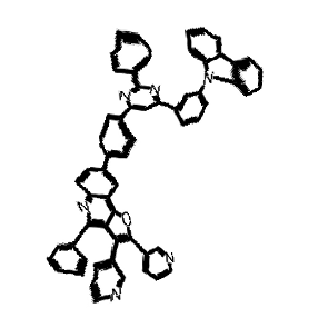 c1ccc(-c2nc(-c3ccc(-c4ccc5nc(-c6ccccc6)c6c(-c7cccnc7)c(-c7cccnc7)oc6c5c4)cc3)cc(-c3cccc(-n4c5ccccc5c5ccccc54)c3)n2)cc1